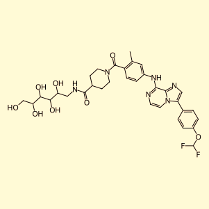 Cc1cc(Nc2nccn3c(-c4ccc(OC(F)F)cc4)cnc23)ccc1C(=O)N1CCC(C(=O)NCC(O)C(O)C(O)C(O)CO)CC1